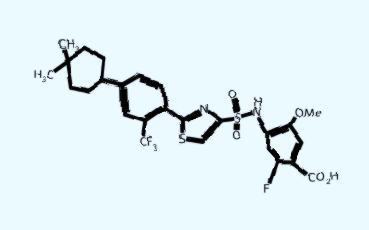 COc1cc(C(=O)O)c(F)cc1NS(=O)(=O)c1csc(-c2ccc(C3CCC(C)(C)CC3)cc2C(F)(F)F)n1